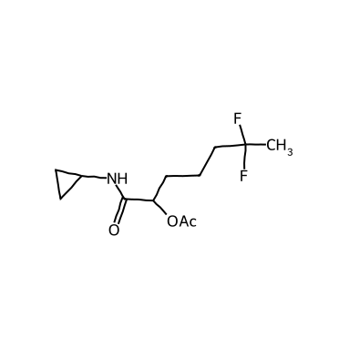 CC(=O)OC(CCCC(C)(F)F)C(=O)NC1CC1